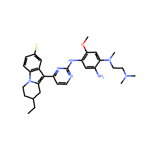 CCC1CCn2c(c(-c3ccnc(Nc4cc(N)c(N(C)CCN(C)C)cc4OC)n3)c3cc(F)ccc32)C1